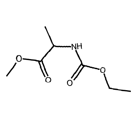 CCOC(=O)NC(C)C(=O)OC